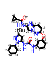 CC(C)(C)c1cc(NC(=O)Nc2cccc(Oc3ccc4nc(NC(=O)C5CC5)cn4n3)c2)n(-c2ccccc2)n1